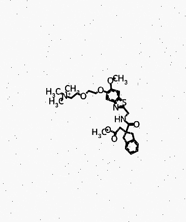 COC(=O)CC1(C(=O)NCc2nc3cc(OCCOCC[N+](C)(C)C)c(OC)cc3s2)Cc2ccccc2C1